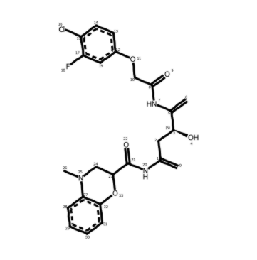 C=C(C[C@H](O)C(=C)NC(=O)COc1ccc(Cl)c(F)c1)NC(=O)C1CN(C)c2ccccc2O1